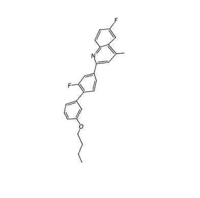 CCCCOc1cccc(-c2ccc(-c3cc(C)c4cc(F)ccc4n3)cc2F)c1